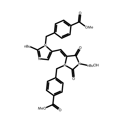 CCCCc1ncc(/C=C2/C(=O)N(CCCC)C(=O)N2Cc2ccc(C(=O)OC)cc2)n1Cc1ccc(C(=O)OC)cc1.Cl